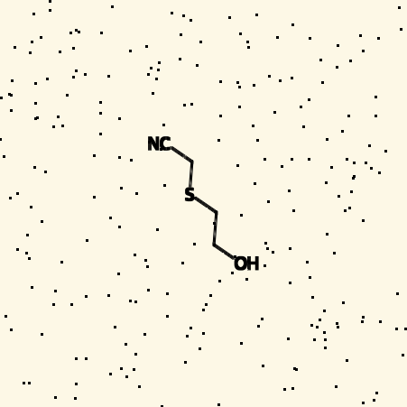 N#CCSCCO